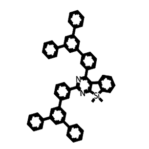 C[Si]1(C)c2ccccc2-c2c(-c3cccc(-c4cc(-c5ccccc5)cc(-c5ccccc5)c4)c3)nc(-c3cccc(-c4cc(-c5ccccc5)cc(-c5ccccc5)c4)c3)nc21